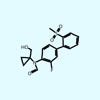 CS(=O)(=O)c1ccccc1-c1ccc(N(C=O)C2(CO)CC2)c(F)c1